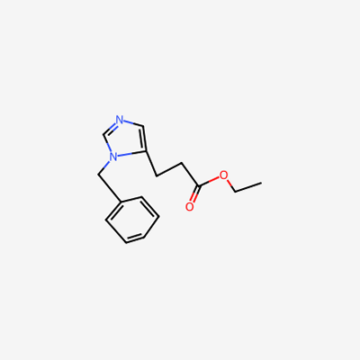 CCOC(=O)CCc1cncn1Cc1ccccc1